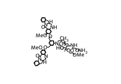 COCCOCCOCCN(CC(C)(C)SSCC(NC(=O)CON)C(=O)O)c1cc(COc2cc3c(cc2OC)C(=O)N2c4ccccc4C[C@H]2C=N3)cc(COc2cc3c(cc2OC)C(=O)N2c4ccccc4C[C@H]2CN3)c1